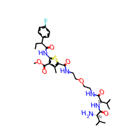 CCC(C(=O)Nc1sc(C(=O)NCCOCCNC(=O)[C@@H](NC(=O)[C@@H](N)C(C)C)C(C)C)c(C)c1C(=O)OC)c1ccc(F)cc1